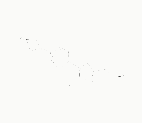 CC(=O)[N@@H+]([O-])CC1CN(c2ccc(N3CC(=O)C3)c(F)c2)C(=O)O1